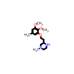 [CH2]c1cc(OC)c(OC)c(OCCC2CN(C)CCN2)c1